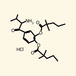 CCCC(C)(C)C(=O)Oc1ccc(C(=O)C(N)C(C)C)cc1OC(=O)C(C)(C)CCC.Cl